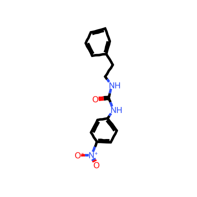 O=C(NCCc1ccccc1)Nc1ccc([N+](=O)[O-])cc1